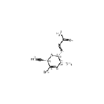 C#C[C@H]1O[C@H](C=CC(C)=O)[C@H](C)C=C1Br